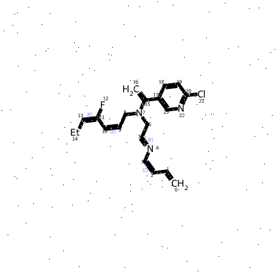 C=C/C=C\N=C\CN(C/C=C\C(F)=C/CC)C(=C)c1ccc(Cl)nc1